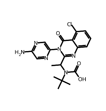 CC(c1nc2cccc(Cl)c2c(=O)n1-c1cnc(N)cn1)N(C(=O)O)C(C)(C)C